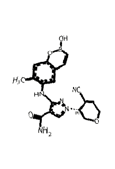 Cc1cc2c(cc1Nc1nn([C@H]3COCCC3C#N)cc1C(N)=O)C=CB(O)O2